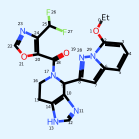 CCOc1cccc2cc(C3c4nc[nH]c4CCN3C(=O)c3ocnc3C(F)F)nn12